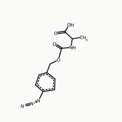 CC(NC(=O)OCc1ccc(N=[N+]=[N-])cc1)C(=O)O